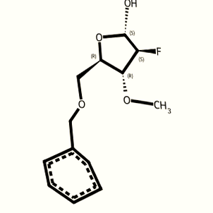 CO[C@H]1[C@H](F)[C@@H](O)O[C@@H]1COCc1ccccc1